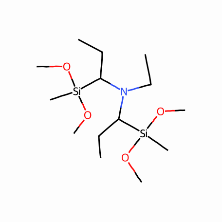 CCC(N(CC)C(CC)[Si](C)(OC)OC)[Si](C)(OC)OC